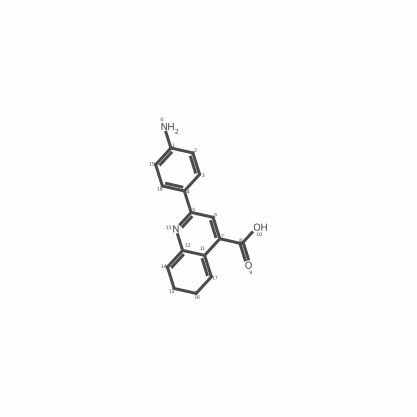 Nc1ccc(-c2cc(C(=O)O)c3c(n2)=CCCC=3)cc1